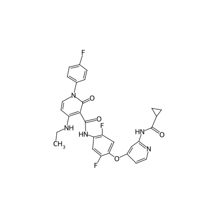 CCNc1ccn(-c2ccc(F)cc2)c(=O)c1C(=O)Nc1cc(F)c(Oc2ccnc(NC(=O)C3CC3)c2)cc1F